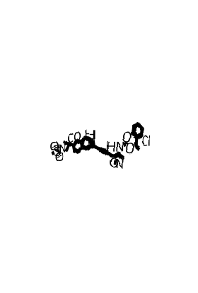 CC(OC(=O)Nc1cnoc1C#Cc1ccc2cc(C3(C(=O)O)CN(S(C)(=O)=O)C3)ccc2c1)c1ccccc1Cl